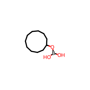 OB(O)OC1CCCCCCCCCC1